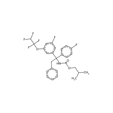 CC(C)COC(=O)NC(Cc1ccccc1)(c1ccc(F)cc1)c1cc(F)cc(OC(F)(F)C(F)F)c1